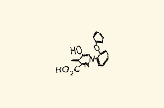 C=C1C(O)=CN(c2ccccc2Oc2ccccc2)N=C1C(=O)O